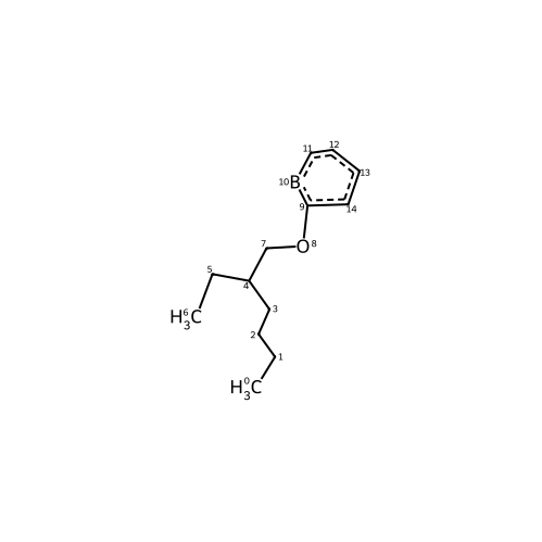 CCCCC(CC)COc1bcccc1